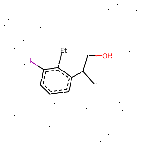 [CH2]C(CO)c1cccc(I)c1CC